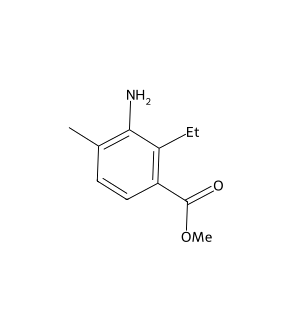 CCc1c(C(=O)OC)ccc(C)c1N